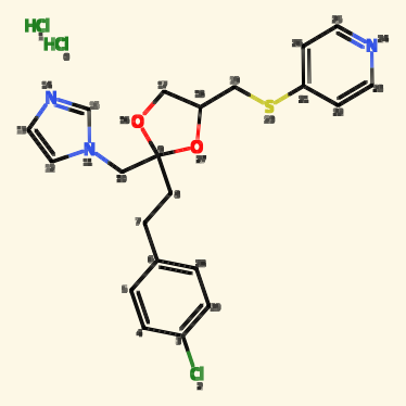 Cl.Cl.Clc1ccc(CCC2(Cn3ccnc3)OCC(CSc3ccncc3)O2)cc1